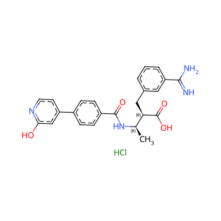 C[C@@H](NC(=O)c1ccc(-c2ccnc(O)c2)cc1)[C@@H](Cc1cccc(C(=N)N)c1)C(=O)O.Cl